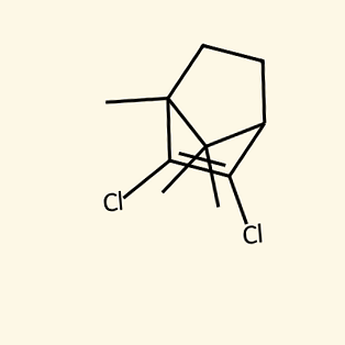 CC12CCC(C(Cl)=C1Cl)C2(C)C